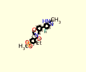 CCc1cc(S(C)(=O)=O)ccc1C(=O)N1CCOc2ccc(-c3cc4[nH]c(C)nc4cc3F)cc2C1